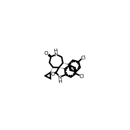 O=C1C[C@@H](C2CC2)[C@]2(C(=O)Nc3cc(Cl)ccc32)[C@@H](c2cccc(Cl)c2)CN1